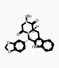 CCCCN1CC(=O)N2[C@@H](c3ccc4c(c3)OCO4)c3[nH]c4ccccc4c3C[C@H]2C1=O